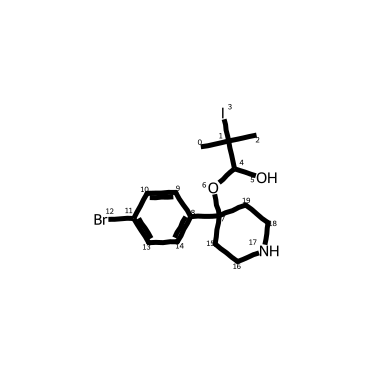 CC(C)(I)C(O)OC1(c2ccc(Br)cc2)CCNCC1